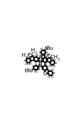 CC(C)(C)c1ccc(Nc2cc3oc4ccccc4c3cc2-c2c3c(c4c5cc(C(C)(C)C)ccc5n5c4c2Bc2cc4c(cc2-5)C(C)(C)c2ccccc2-4)C(C)(C)c2ccccc2-3)cc1